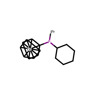 CC(C)P(C1CCCCC1)[C]12[CH]3[CH]4[CH]5[CH]1[Fe]45321678[CH]2[CH]1[CH]6[CH]7[CH]28